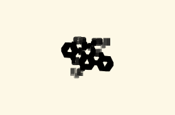 O=C1N(c2c(Cl)cccc2Cl)c2cc(C(F)(F)F)cc(-c3ccccc3Cl)c2CN1S(=O)(=O)O